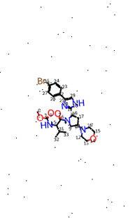 COC(=O)NC(C(=O)N1C[C@@H](N2CCOCC2)C[C@H]1c1nc(-c2ccc(Br)cc2)c[nH]1)C(C)C